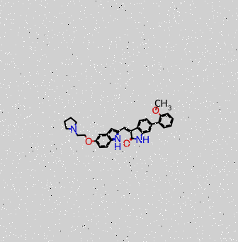 COc1ccccc1-c1ccc2c(c1)NC(=O)C2=Cc1cc2cc(OCCN3CCCC3)ccc2[nH]1